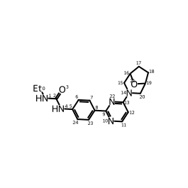 CCNC(=O)Nc1ccc(-c2nccc(N3CC4CCC(C3)O4)n2)cc1